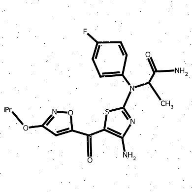 CC(C)Oc1cc(C(=O)c2sc(N(c3ccc(F)cc3)C(C)C(N)=O)nc2N)on1